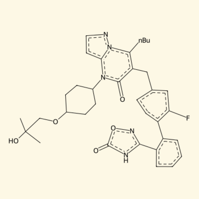 CCCCc1c(Cc2ccc(-c3ccccc3-c3noc(=O)[nH]3)c(F)c2)c(=O)n(C2CCC(OCC(C)(C)O)CC2)c2ccnn12